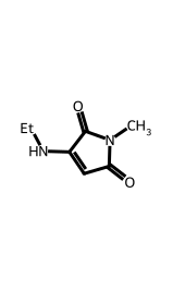 CCNC1=CC(=O)N(C)C1=O